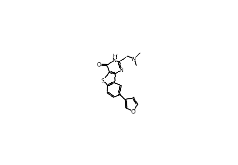 CN(C)Cc1nc2c(sc3ccc(-c4ccoc4)cc32)c(=O)[nH]1